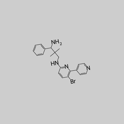 CC(C)(CNc1ccc(Br)c(-c2ccncc2)n1)C(N)c1ccccc1